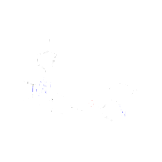 C#Cc1nccc(OCC2CCC(N)(CC(C)C(=C)Nc3ccc(C)cc3)CC2)c1/C=C\C